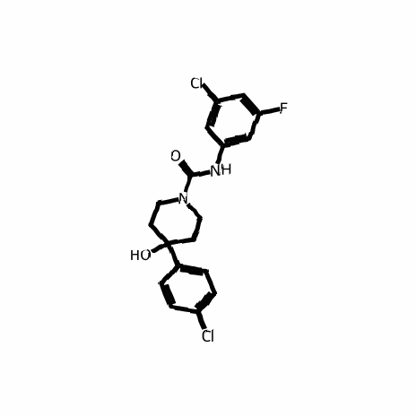 O=C(Nc1cc(F)cc(Cl)c1)N1CCC(O)(c2ccc(Cl)cc2)CC1